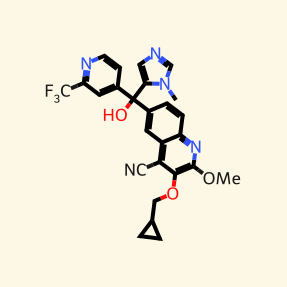 COc1nc2ccc(C(O)(c3ccnc(C(F)(F)F)c3)c3cncn3C)cc2c(C#N)c1OCC1CC1